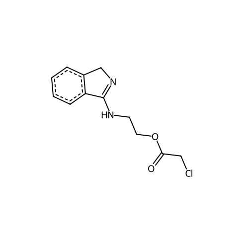 O=C(CCl)OCCNC1=NCc2ccccc21